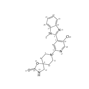 Cn1c(-c2cc(N3CCC4(CC3)CNC(=O)O4)ncc2Cl)nc2ccccc21